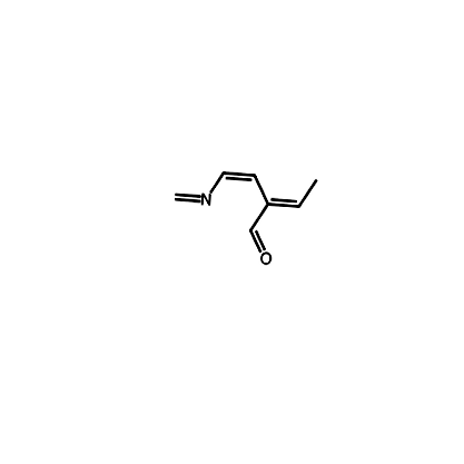 C=N/C=C\C(C=O)=C/C